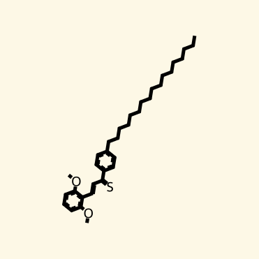 CCCCCCCCCCCCCCCCCc1ccc(C(=S)C=Cc2c(OC)cccc2OC)cc1